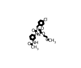 COCCOc1nn(-c2cccc(NC(C)=O)c2)c(=O)n(Cc2ccc(Cl)cc2)c1=O